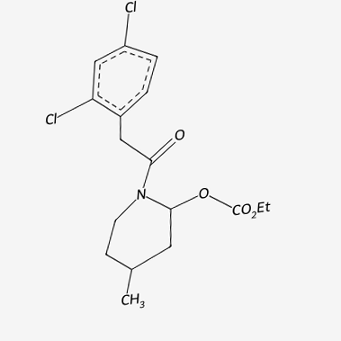 CCOC(=O)OC1CC(C)CCN1C(=O)Cc1ccc(Cl)cc1Cl